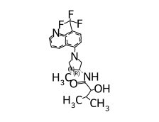 CC(C)C(O)C(=O)N[C@H]1CN(c2ccc(C(F)(F)F)c3ncccc23)C[C@H]1C